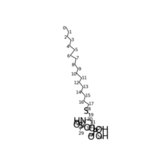 CCCCCCCCCCCCCCCCCCSC[C@H](COP(=O)(O)O)NS(C)(=O)=O